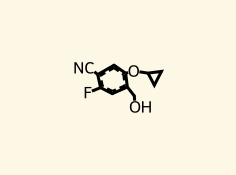 N#Cc1cc(OC2CC2)c(CO)cc1F